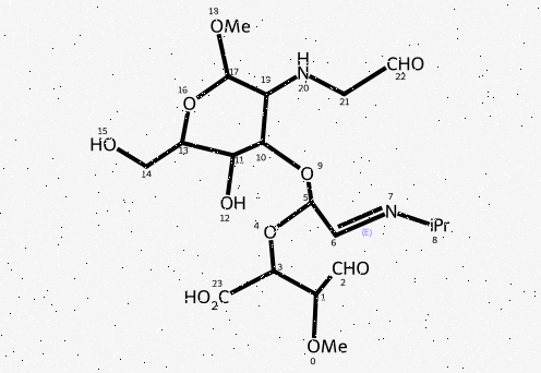 COC(C=O)C(OC(/C=N/C(C)C)OC1C(O)C(CO)OC(OC)C1NCC=O)C(=O)O